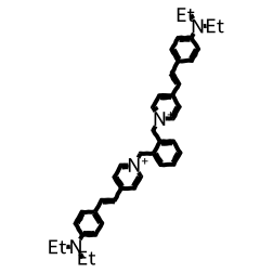 CCN(CC)c1ccc(/C=C/c2cc[n+](Cc3ccccc3C[n+]3ccc(/C=C/c4ccc(N(CC)CC)cc4)cc3)cc2)cc1